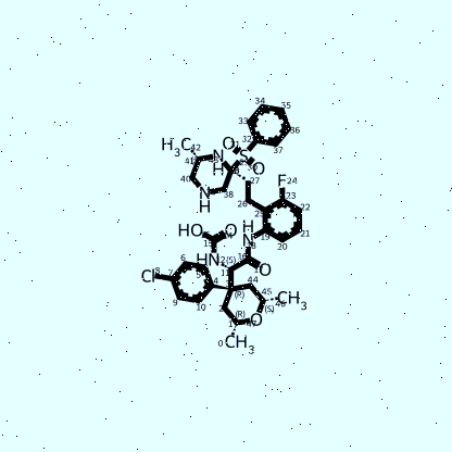 C[C@@H]1C[C@](c2ccc(Cl)cc2)([C@H](NC(=O)O)C(=O)Nc2cccc(F)c2CC[C@]2(S(=O)(=O)c3ccccc3)CNC[C@H](C)N2)C[C@H](C)O1